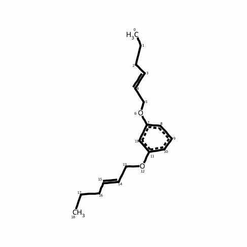 CCCC=CCOc1cccc(OCC=CCCC)c1